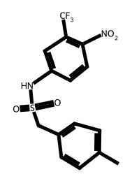 Cc1ccc(CS(=O)(=O)Nc2ccc([N+](=O)[O-])c(C(F)(F)F)c2)cc1